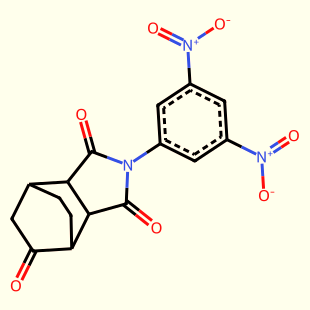 O=C1CC2CCC1C1C(=O)N(c3cc([N+](=O)[O-])cc([N+](=O)[O-])c3)C(=O)C21